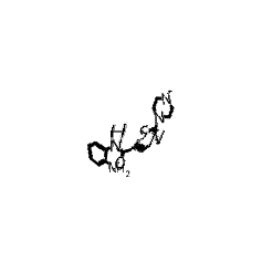 CN1CCN(c2ncc(C(=O)Nc3ccccc3N)s2)CC1